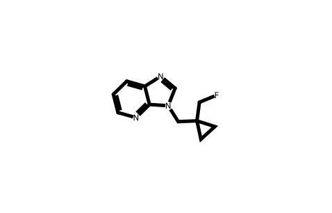 FCC1(Cn2cnc3cccnc32)CC1